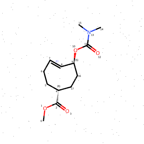 COC(=O)[C@@H]1CC/C=C/[C@@H](OC(=O)N(C)C)CC1